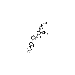 Cc1cc(Nc2nccc(-c3ccc(N4CCOCC4)nc3)n2)ccc1N1CC2CC1CN2CC1CC1